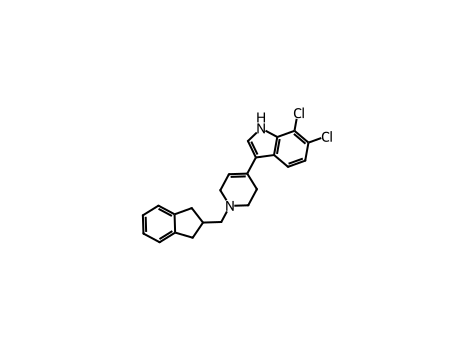 Clc1ccc2c(C3=CCN(CC4Cc5ccccc5C4)CC3)c[nH]c2c1Cl